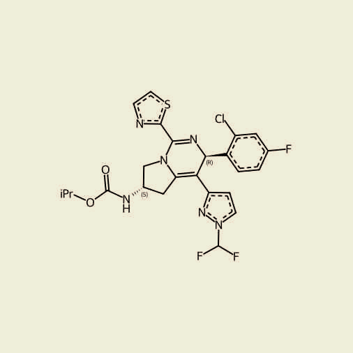 CC(C)OC(=O)N[C@H]1CC2=C(c3ccn(C(F)F)n3)[C@H](c3ccc(F)cc3Cl)N=C(c3nccs3)N2C1